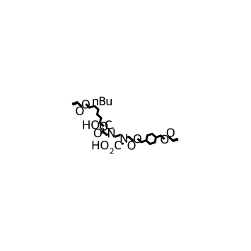 C=CC(=O)OCC(CCCC)CCCCOC(=O)CN(CCN(CC(=O)O)CC(=O)OCC1CCC(COC(=O)C=C)CC1)CC(=O)O